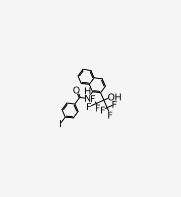 O=C(Nc1c(C(O)(C(F)(F)F)C(F)(F)F)ccc2ccccc12)c1ccc(I)cc1